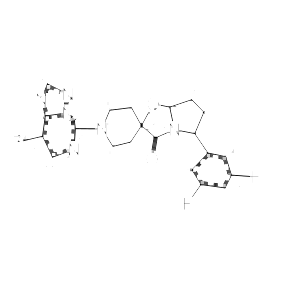 O=C1N2C(CCC2c2cc(F)cc(F)c2)OC12CCN(c1ncc(F)c3ncnn13)CC2